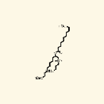 CCCCCCCC/C=C\CCCCCCCC(=O)OC(CCCCCCCCCCCCCCCCCC)C[N+](C)(C)CCCC(=O)[O-]